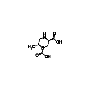 C[C@@H]1CN[C@@H](C(=O)O)CN1C(=O)O